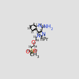 CCCc1nc2c(N)nc3ccccc3c2n1CCOCCS(C)(=O)=O